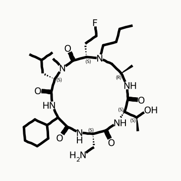 CCCCN1C[C@@H](C)NC(=O)[C@H]([C@H](C)O)NC(=O)[C@H](CN)NC(=O)C(C2CCCCC2)NC(=O)[C@H](CC(C)C)N(C)C(=O)[C@@H]1CCF